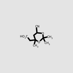 CC1(CC(=O)O)CC(C#N)OC(C)(C)O1